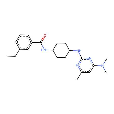 CCc1cccc(C(=O)NC2CCC(Nc3nc(C)cc(N(C)C)n3)CC2)c1